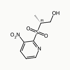 C[C@H](CO)S(=O)(=O)c1ncccc1[N+](=O)[O-]